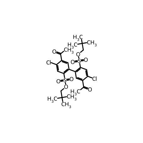 CC(=O)c1cc(-c2cc(C(C)=O)c(Cl)cc2S(=O)(=O)OCC(C)(C)C)c(S(=O)(=O)OCC(C)(C)C)cc1Cl